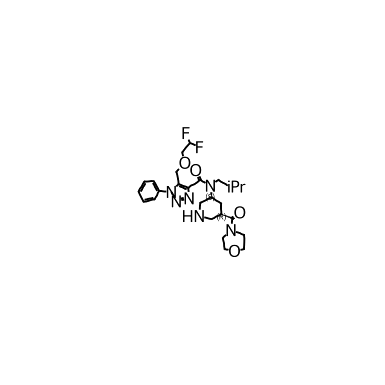 CC(C)CN(C(=O)c1nnn(-c2ccccc2)c1COCC(F)F)[C@@H]1CNC[C@H](C(=O)N2CCOCC2)C1